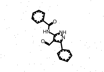 O=Cc1c(-c2ccccc2)n[nH]c1NC(=O)c1ccccc1